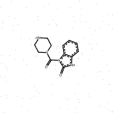 O=C(N1CCNCC1)n1c(=O)[nH]c2ccccc21